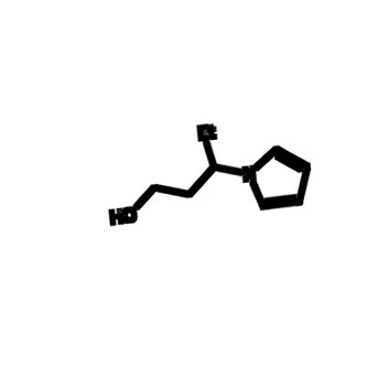 CCC(CCO)n1cccc1